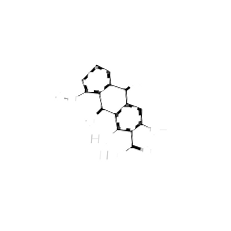 COc1cccc2c1C(=O)c1c(cc(C)c(C(C)=O)c1O)C2=O